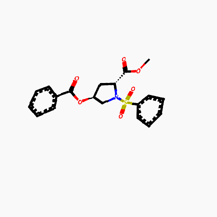 COC(=O)[C@H]1C[C@H](OC(=O)c2ccccc2)CN1S(=O)(=O)c1ccccc1